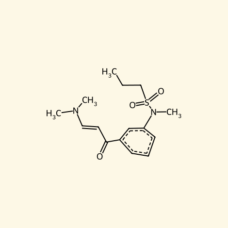 CCCS(=O)(=O)N(C)c1cccc(C(=O)C=CN(C)C)c1